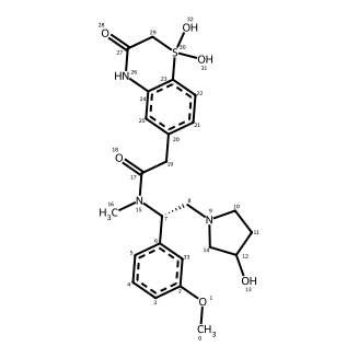 COc1cccc([C@@H](CN2CCC(O)C2)N(C)C(=O)Cc2ccc3c(c2)NC(=O)CS3(O)O)c1